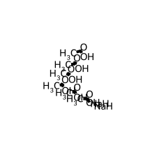 CC(=O)O.CC(=O)O.CC(=O)O.CC(=O)O.CC(=O)O.CC(=O)O.[NaH].[NaH]